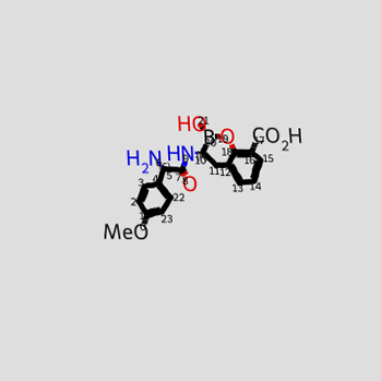 COc1ccc([C@H](N)C(=O)N[C@H]2Cc3cccc(C(=O)O)c3OB2O)cc1